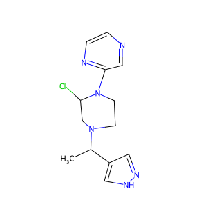 CC(c1cn[nH]c1)N1CCN(c2cnccn2)C(Cl)C1